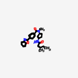 CC[C@H](C)CC(=O)N[C@H]1CC[C@@H](N(C)C(=O)c2ccc(-c3nc4ccccc4o3)cc2)C1